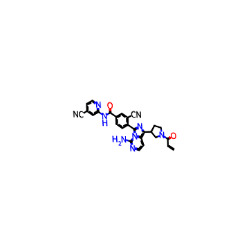 C=CC(=O)N1CCC(c2nc(-c3ccc(C(=O)Nc4cc(C#N)ccn4)cc3C#N)n3c(N)nccc23)C1